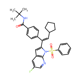 CC(C)(C)NC(=O)c1ccc(C(=CC2CCCC2)c2cc3cc(F)cnc3n2S(=O)(=O)c2ccccc2)cc1